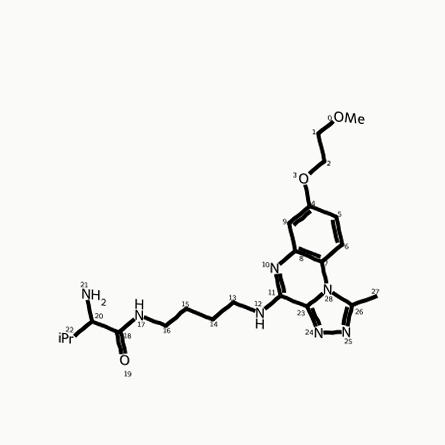 COCCOc1ccc2c(c1)nc(NCCCCNC(=O)C(N)C(C)C)c1nnc(C)n12